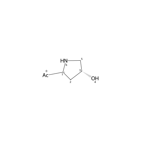 CC(=O)[C]1C[C@@H](O)CN1